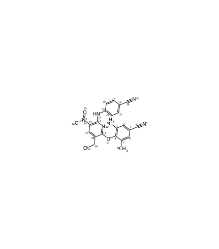 Cc1cc(C#N)cc(C)c1Oc1nc(Nc2ccc(C#N)cc2)c([N+](=O)[O-])cc1CCl